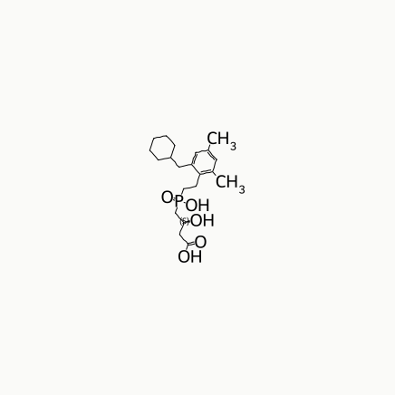 Cc1cc(C)c(CCP(=O)(O)C[C@@H](O)CC(=O)O)c(CC2CCCCC2)c1